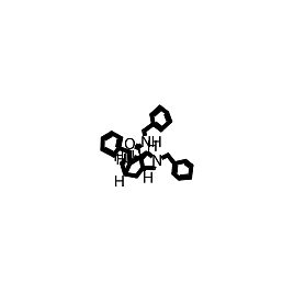 O=C(NCc1ccccc1)[C@]12NC[C@@H]3C[C@H]1CN(Cc1ccccc1)[C@H]2[C@@H]3Cc1ccccc1